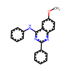 COc1ccc2nc(-c3ccccc3)nc(Nc3ccccc3)c2c1